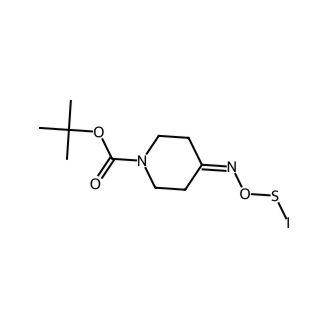 CC(C)(C)OC(=O)N1CCC(=NOSI)CC1